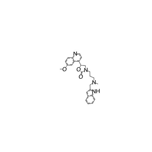 COc1ccc2nccc(C3CN(CCCN(C)Cc4cc5ccccc5[nH]4)C(=O)O3)c2c1